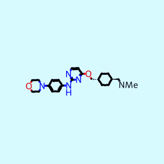 CNC[C@H]1CC[C@H](COc2ccnc(Nc3ccc(N4CCOCC4)cc3)n2)CC1